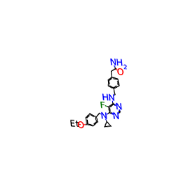 CCOc1ccc(CN(c2ncnc(NCc3ccc(CC(N)=O)cc3)c2F)C2CC2)cc1